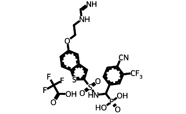 N#Cc1ccc(C(NS(=O)(=O)c2cc3cc(OCCNC=N)ccc3s2)P(=O)(O)O)cc1C(F)(F)F.O=C(O)C(F)(F)F